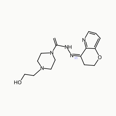 C=C(N/N=C1/CCOc2cccnc21)N1CCN(CCO)CC1